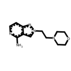 Nc1nccc2nn(CCN3CCOCC3)cc12